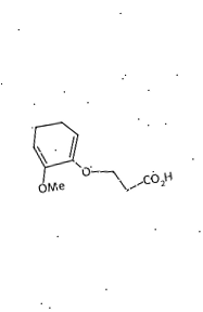 COC1=C[CH]CC=C1OCCC(=O)O